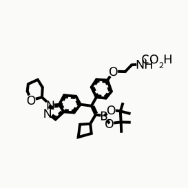 CC1(C)OB(C(=C(c2ccc(OCCNC(=O)O)cc2)c2ccc3c(cnn3C3CCCCO3)c2)C2CCC2)OC1(C)C